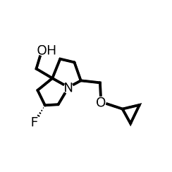 OCC12CCC(COC3CC3)N1C[C@H](F)C2